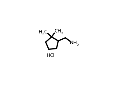 CC1(C)CCCC1CN.Cl